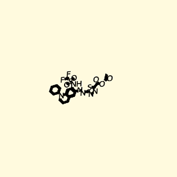 O=C(OC1CO1)c1nnc(N=Nc2cc3c(cc2NS(=O)(=O)C(F)F)N(C2CCCCC2)CCC3)s1